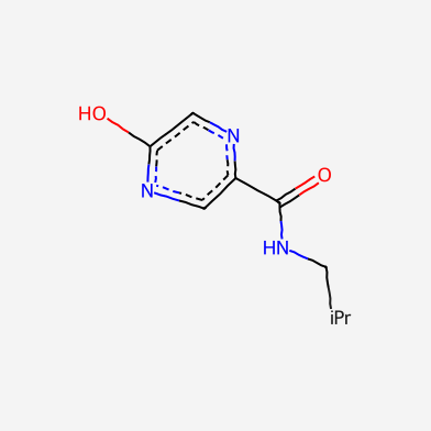 CC(C)CNC(=O)c1cnc(O)cn1